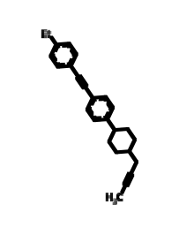 CC#CCC1CCC(c2ccc(C#Cc3ccc(CC)cc3)cc2)CC1